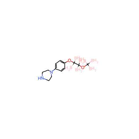 BC(B)(B)OC(B)(B)C(B)(B)Oc1ccc(N2CCNCC2)cc1